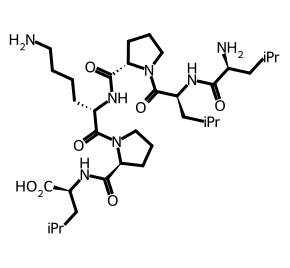 CC(C)C[C@H](NC(=O)[C@@H]1CCCN1C(=O)[C@H](CCCCN)NC(=O)[C@@H]1CCCN1C(=O)[C@H](CC(C)C)NC(=O)[C@@H](N)CC(C)C)C(=O)O